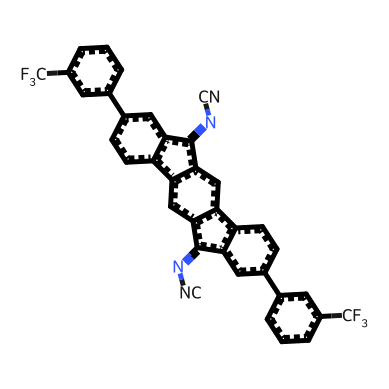 [C-]#[N+]/N=c1\c2cc(-c3cccc(C(F)(F)F)c3)ccc2c2cc3/c(=N/C#N)c4cc(-c5cccc(C(F)(F)F)c5)ccc4c3cc12